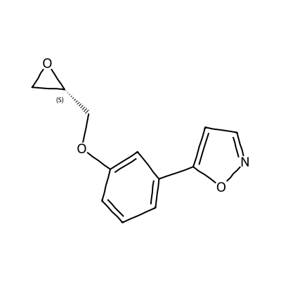 c1cc(OC[C@@H]2CO2)cc(-c2ccno2)c1